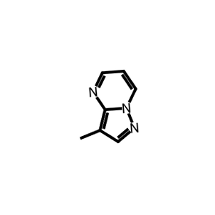 Cc1cnn2cccnc12